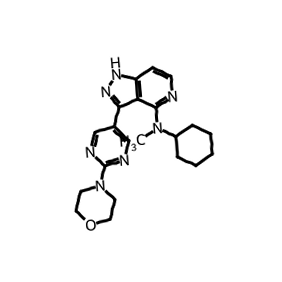 CN(c1nccc2[nH]nc(-c3cnc(N4CCOCC4)nc3)c12)C1CCCCC1